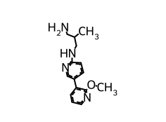 COc1ncccc1-c1ccc(NCC(C)CN)nc1